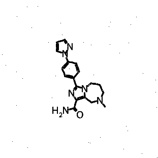 CN1CCCn2c(-c3ccc(-n4cccn4)cc3)nc(C(N)=O)c2C1